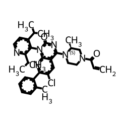 C=CC(=O)N1CCN(c2nc(=O)n(-c3c(C(C)C)ccnc3C(C)C)c3nc(-c4ccccc4C)c(Cl)cc23)[C@@H](C)C1